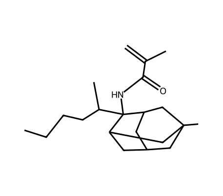 C=C(C)C(=O)NC1(C(C)CCCC)C2CC3CC1CC(C)(C3)C2